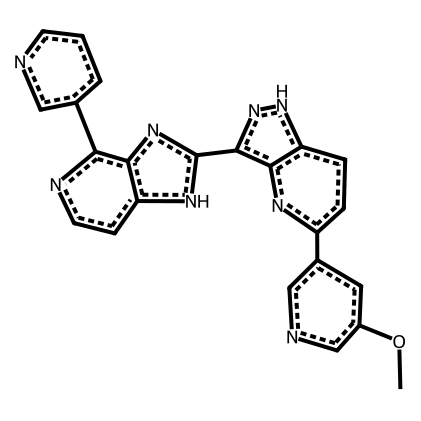 COc1cncc(-c2ccc3[nH]nc(-c4nc5c(-c6cccnc6)nccc5[nH]4)c3n2)c1